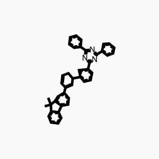 CC1(C)c2ccccc2-c2ccc(C3=CC(c4cccc(-c5nc(-c6ccccc6)nc(-c6ccccc6)n5)c4)CC=C3)cc21